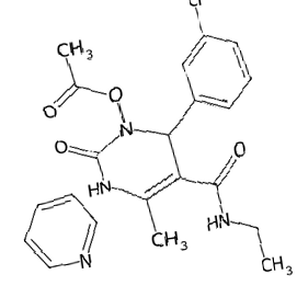 CCNC(=O)C1=C(C)NC(=O)N(OC(C)=O)C1c1cccc(Cl)c1.c1ccncc1